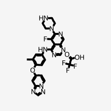 Cc1cc(Nc2ncnc3cnc(N4CCNCC4)c(F)c23)ccc1Oc1ccn2ncnc2c1.O=C(O)C(F)(F)F